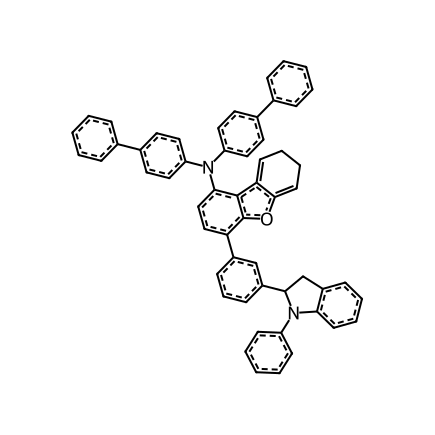 C1=c2oc3c(-c4cccc(C5Cc6ccccc6N5c5ccccc5)c4)ccc(N(c4ccc(-c5ccccc5)cc4)c4ccc(-c5ccccc5)cc4)c3c2=CCC1